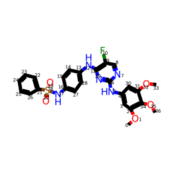 COc1cc(Nc2ncc(F)c(Nc3ccc(NS(=O)(=O)c4ccccc4)cc3)n2)cc(OC)c1OC